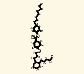 CCCCCCCCc1ccc(OC(=O)c2ccc(OCCCC3CCCCC3CCCCC)cc2)cc1